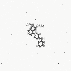 COc1cc2cnnc(N3CCC(Nc4ncccn4)CC3)c2cc1OC